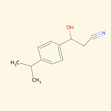 CC(C)c1ccc(C(O)CC#N)cc1